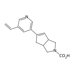 C=Cc1cncc(C2=CC3CN(C(=O)O)CC3C2)c1